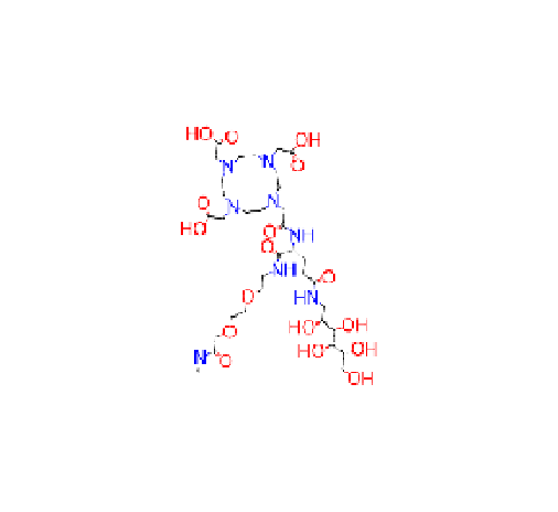 C=NC(=O)COCCOCCNC(=O)[C@@H](CCC(=O)NC[C@H](O)[C@@H](O)[C@H](O)[C@H](O)CO)NC(=O)CN1CCN(CC(=O)O)CCN(CC(=O)O)CCN(CC(=O)O)CC1